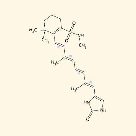 CNS(=O)(=O)C1=C(/C=C/C(C)=C/C=C/C(C)=C/c2c[nH]c(=O)[nH]2)C(C)(C)CCC1